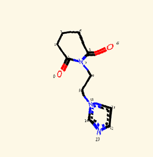 O=C1CCCC(=O)N1CCn1ccnc1